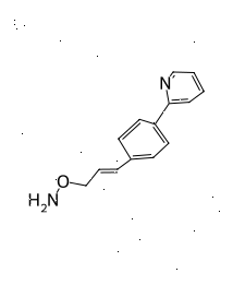 NOC/C=C/c1ccc(-c2ccccn2)cc1